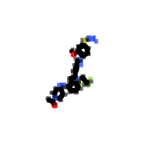 COc1cc(SN)ccc1NCC#Cc1cc2c(NC3CCN(C(C)=O)CC3)cccc2n1CC(F)(F)F